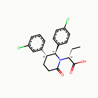 CC[C@H](C(=O)O)N1C(=O)CC[C@H](c2cccc(Cl)c2)[C@H]1c1ccc(Cl)cc1